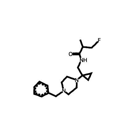 CC(CF)C(=O)NCC1(N2CCN(Cc3ccccc3)CC2)CC1